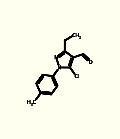 CCc1nn(-c2ccc(C)cc2)c(Cl)c1C=O